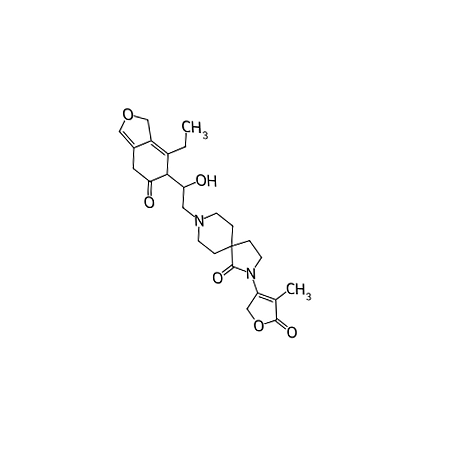 CCC1=C2COC=C2CC(=O)C1C(O)CN1CCC2(CC1)CCN(C1=C(C)C(=O)OC1)C2=O